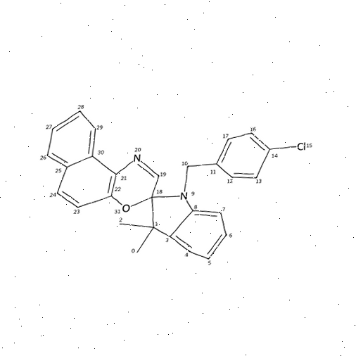 CC1(C)c2ccccc2N(Cc2ccc(Cl)cc2)C12C=Nc1c(ccc3ccccc13)O2